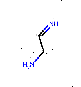 N=[C]CN